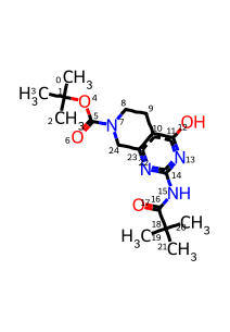 CC(C)(C)OC(=O)N1CCc2c(O)nc(NC(=O)C(C)(C)C)nc2C1